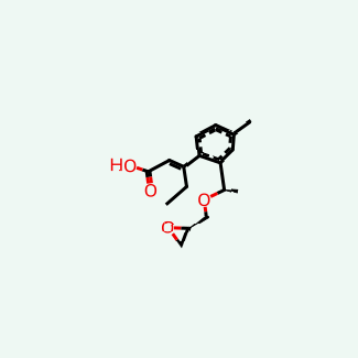 CC/C(=C\C(=O)O)c1ccc(C)cc1[C@@H](C)OC[C@H]1CO1